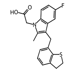 Cc1c(Cc2cccc3c2SCC3)c2cc(F)ccc2n1CC(=O)O